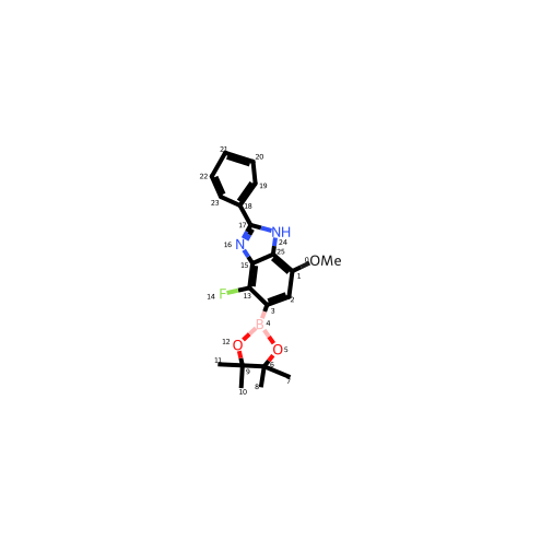 COc1cc(B2OC(C)(C)C(C)(C)O2)c(F)c2nc(-c3ccccc3)[nH]c12